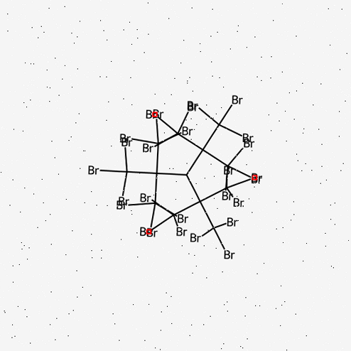 BrC(Br)(Br)C(C(C(C(Br)(Br)Br)(C(Br)(Br)Br)C(Br)(Br)Br)C(C(Br)(Br)Br)(C(Br)(Br)Br)C(Br)(Br)Br)(C(Br)(Br)Br)C(Br)(Br)Br